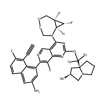 [2H]C([2H])(Oc1nc(N2CCOC[C@H]3[C@H](F)[C@H]32)c2cnc(-c3cc(N)cc4ccc(F)c(C#C)c34)c(F)c2n1)[C@@]12CCCN1C[C@@H](C#N)C2